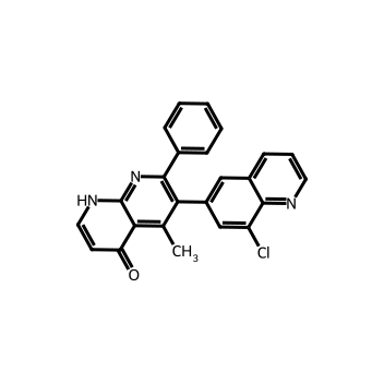 Cc1c(-c2cc(Cl)c3ncccc3c2)c(-c2ccccc2)nc2[nH]ccc(=O)c12